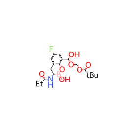 CCC(=O)N[C@H]1Cc2cc(F)cc(C(O)OCOC(=O)C(C)(C)C)c2OB1O